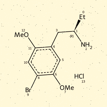 CC[C@@H](N)Cc1cc(OC)c(Br)cc1OC.Cl